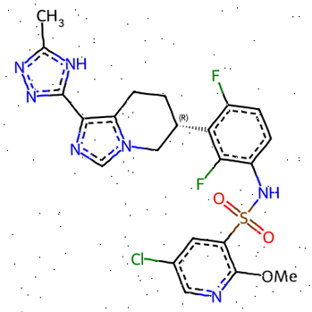 COc1ncc(Cl)cc1S(=O)(=O)Nc1ccc(F)c([C@H]2CCc3c(-c4nnc(C)[nH]4)ncn3C2)c1F